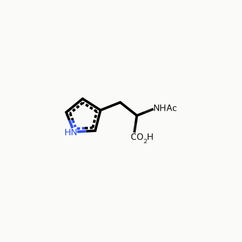 CC(=O)NC(Cc1cc[nH]c1)C(=O)O